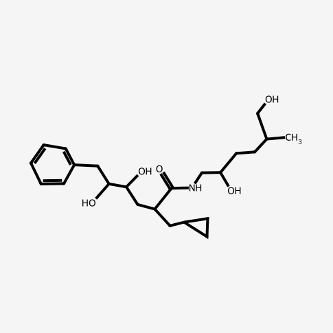 CC(CO)CCC(O)CNC(=O)C(CC1CC1)CC(O)C(O)Cc1ccccc1